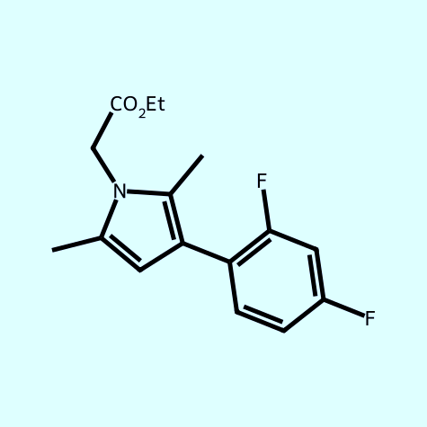 CCOC(=O)Cn1c(C)cc(-c2ccc(F)cc2F)c1C